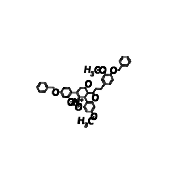 COc1ccc(C2C(C(=O)C=Cc3ccc(OCc4ccccc4)c(OC)c3)C(=O)CC(c3ccc(OCc4ccccc4)cc3)C2[N+](=O)[O-])cc1